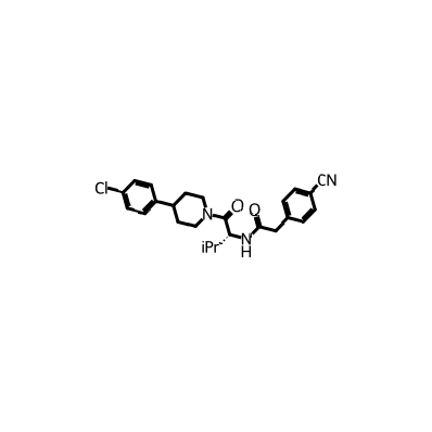 CC(C)[C@@H](NC(=O)Cc1ccc(C#N)cc1)C(=O)N1CCC(c2ccc(Cl)cc2)CC1